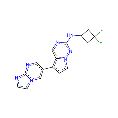 FC1(F)CC(Nc2ncc3c(-c4cnc5nccn5c4)ccn3n2)C1